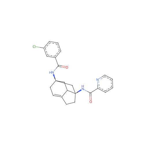 O=C(N[C@]12CC=C3CC[C@@](NC(=O)c4ccccn4)(C1)C3C2)c1cccc(Cl)c1